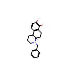 Oc1ccc2c(c1O)CC[C@H]1[C@H]2CCCN1Cc1ccccc1